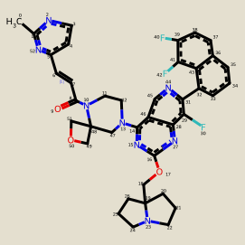 Cc1nccc(/C=C/C(=O)N2CCN(c3nc(OCC45CCCN4CCC5)nc4c(F)c(-c5cccc6ccc(F)c(F)c56)ncc34)CC23COC3)n1